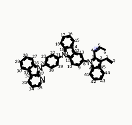 C=Cc1c(/C=C\C)n(-c2ccc3c(c2)c2ccccc2n3-c2ccc(-n3c4ccccc4c4cccnc43)cc2)c2ccccc12